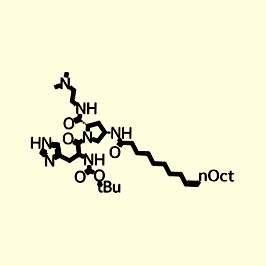 CCCCCCCC/C=C\CCCCCCCC(=O)N[C@H]1C[C@@H](C(=O)NCCN(C)C)N(C(=O)C(Cc2c[nH]cn2)NC(=O)OC(C)(C)C)C1